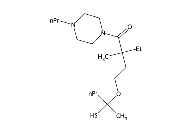 CCCN1CCN(C(=O)C(C)(CC)CCOC(C)(S)CCC)CC1